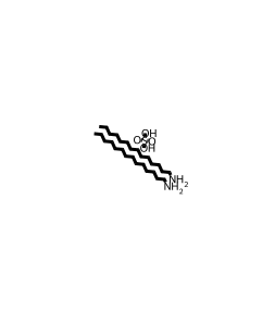 CCCCCCCCCCCCCCN.CCCCCCCCCCCCCCN.O=S(=O)(O)O